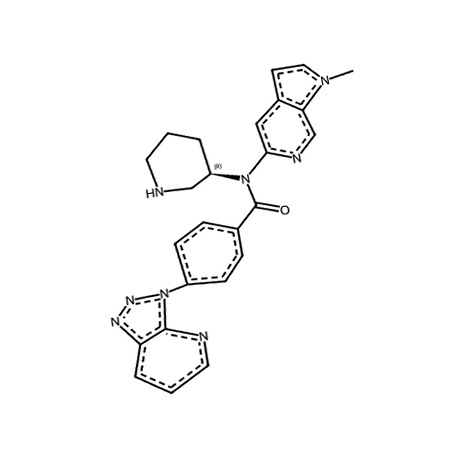 Cn1ccc2cc(N(C(=O)c3ccc(-n4nnc5cccnc54)cc3)[C@@H]3CCCNC3)ncc21